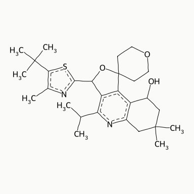 Cc1nc(C2OC3(CCOCC3)c3c4c(nc(C(C)C)c32)CC(C)(C)CC4O)sc1C(C)(C)C